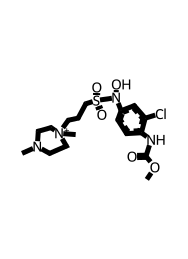 COC(=O)Nc1ccc(N(O)S(=O)(=O)CCC[N+]2(C)CCN(C)CC2)cc1Cl